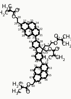 C=C(C)C(=O)OCCCC1(COC(=O)C(=C)C)c2cc(-c3ccc4ccc5cc(CCOC(=O)C(=C)C)cc6ccc3c4c56)ccc2-c2ccc(-c3ccc4ccc5cc(COC(=O)C(=C)C)cc6ccc3c4c56)cc21